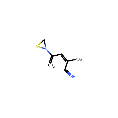 C=C(/C=C(\C=N)C(C)(C)C)N1CS1